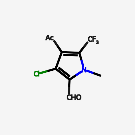 CC(=O)c1c(Cl)c(C=O)n(C)c1C(F)(F)F